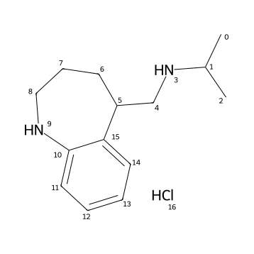 CC(C)NCC1CCCNc2ccccc21.Cl